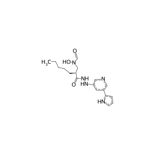 CCCCC[C@@H](CN(O)C=O)C(=O)NNc1cncc(-c2ccc[nH]2)c1